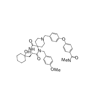 CNC(=O)c1ccc(Oc2ccc(CN3CCC4(CC3)C(=O)N[C@H](CC3(O)CCCCC3)C(=O)N4Cc3ccc(OC)cc3)cc2)cc1